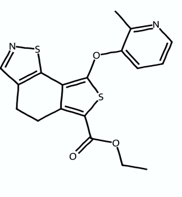 CCOC(=O)c1sc(Oc2cccnc2C)c2c1CCc1cnsc1-2